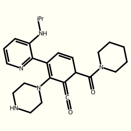 CC(C)Nc1cccnc1C1=C(N2CCNCC2)C(=C=O)C(C(=O)N2CCCCC2)C=C1